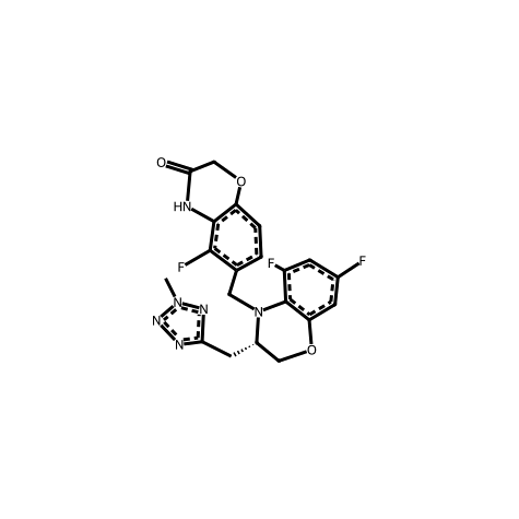 Cn1nnc(C[C@H]2COc3cc(F)cc(F)c3N2Cc2ccc3c(c2F)NC(=O)CO3)n1